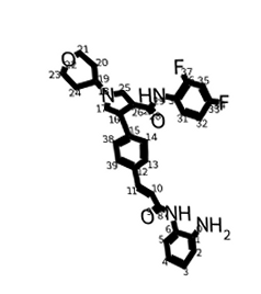 Nc1ccccc1NC(=O)/C=C/c1ccc(C2CN(C3CCOCC3)CC2C(=O)Nc2ccc(F)cc2F)cc1